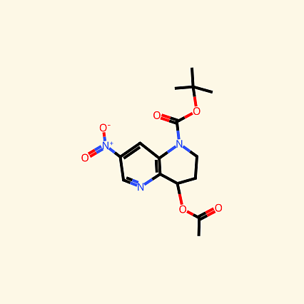 CC(=O)OC1CCN(C(=O)OC(C)(C)C)c2cc([N+](=O)[O-])cnc21